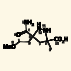 COCCC1(C(N)=O)CC(C)(C(=O)O)NN1